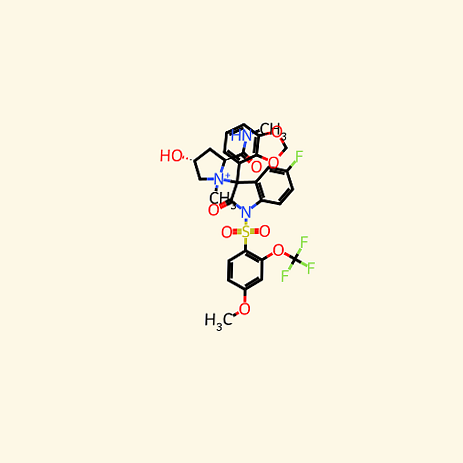 CNC(=O)[C@@H]1C[C@@H](O)C[N+]1(C)C1(c2cccc3c2OCO3)C(=O)N(S(=O)(=O)c2ccc(OC)cc2OC(F)(F)F)c2ccc(F)cc21